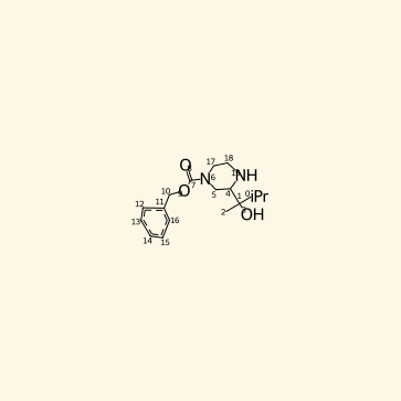 CC(C)C(C)(O)C1CN(C(=O)OCc2ccccc2)CCN1